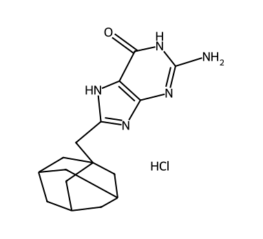 Cl.Nc1nc2nc(CC34CC5CC(CC(C5)C3)C4)[nH]c2c(=O)[nH]1